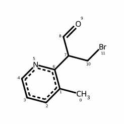 Cc1cccnc1C(C=O)CBr